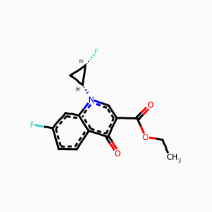 CCOC(=O)c1cn([C@@H]2C[C@@H]2F)c2cc(F)ccc2c1=O